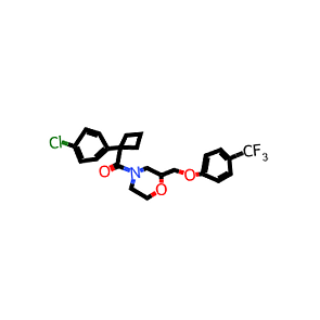 O=C(N1CCOC(COc2ccc(C(F)(F)F)cc2)C1)C1(c2ccc(Cl)cc2)CCC1